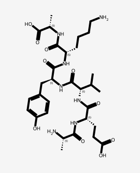 CC(C)[C@H](NC(=O)[C@H](CCC(=O)O)NC(=O)[C@H](C)N)C(=O)N[C@@H](Cc1ccc(O)cc1)C(=O)N[C@@H](CCCCN)C(=O)N[C@@H](C)C(=O)O